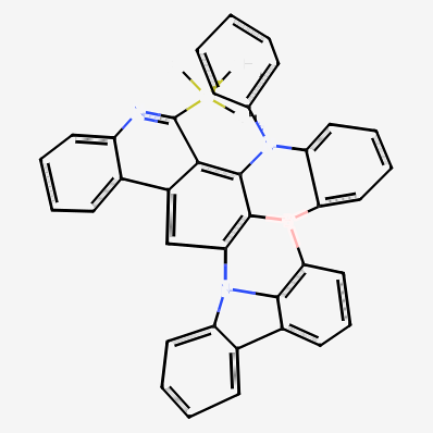 CS(C)(C)c1nc2ccccc2c2cc3c4c(c12)N(c1ccccc1)c1ccccc1B4c1cccc2c4ccccc4n-3c12